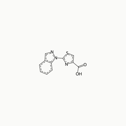 O=C(O)c1csc(-n2ncc3ccccc32)n1